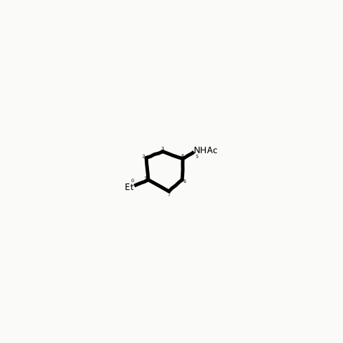 CCC1CCC(NC(C)=O)CC1